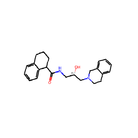 O=C(NC[C@H](O)CN1CCc2ccccc2C1)C1CCCc2ccccc21